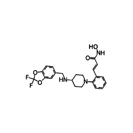 O=C(C=Cc1ccccc1N1CCC(NCc2ccc3c(c2)OC(F)(F)O3)CC1)NO